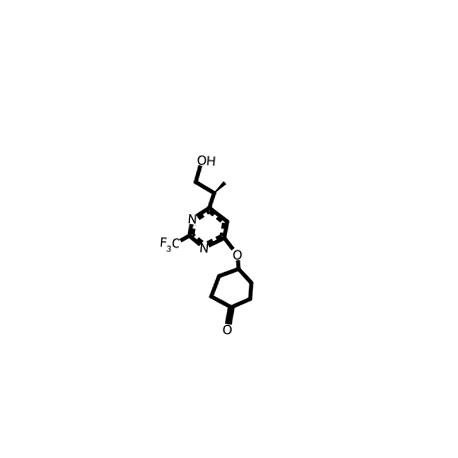 C[C@H](CO)c1cc(OC2CCC(=O)CC2)nc(C(F)(F)F)n1